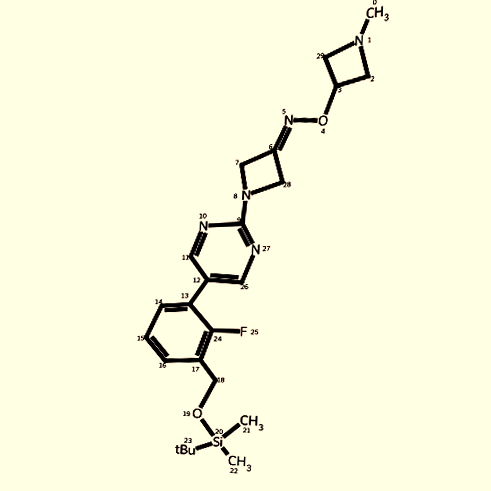 CN1CC(ON=C2CN(c3ncc(-c4cccc(CO[Si](C)(C)C(C)(C)C)c4F)cn3)C2)C1